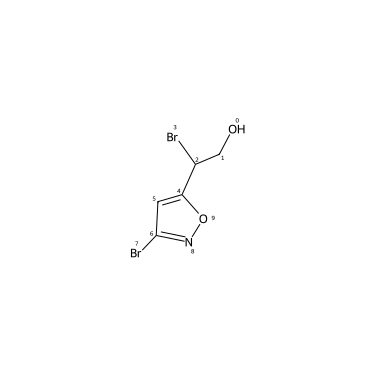 OCC(Br)c1cc(Br)no1